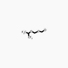 FC(F)(F)C(OCOCCl)C(F)(F)F